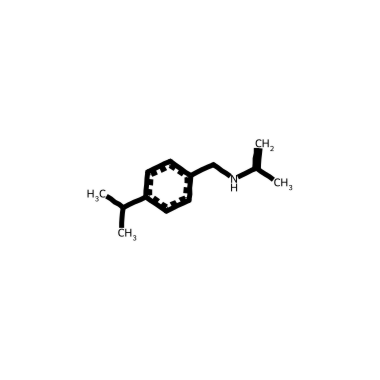 C=C(C)NCc1ccc(C(C)C)cc1